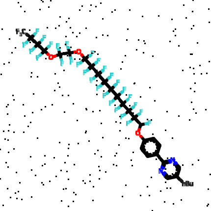 CCCCc1cnc(-c2ccc(OC(F)C(F)(F)C(F)(F)C(F)(F)C(F)(F)C(F)(F)C(F)(F)C(F)(F)C(F)(F)C(F)(F)OC(F)(F)C(F)(F)OC(F)(F)C(F)(F)C(F)(F)C(F)(F)F)cc2)nc1